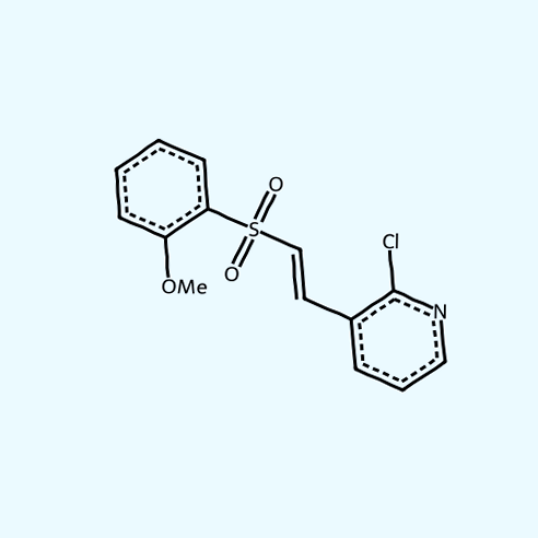 COc1ccccc1S(=O)(=O)C=Cc1cccnc1Cl